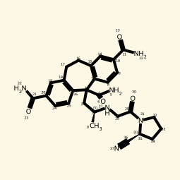 C[C@@H](CC1(C(N)=O)c2ccc(C(N)=O)cc2CCc2cc(C(N)=O)ccc21)NCC(=O)N1CCC[C@H]1C#N